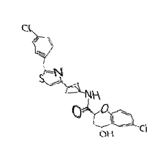 O=C(NC12CC(c3csc(-c4ccc(Cl)cc4)n3)(C1)C2)[C@@H]1C[C@@H](O)c2cc(Cl)ccc2O1